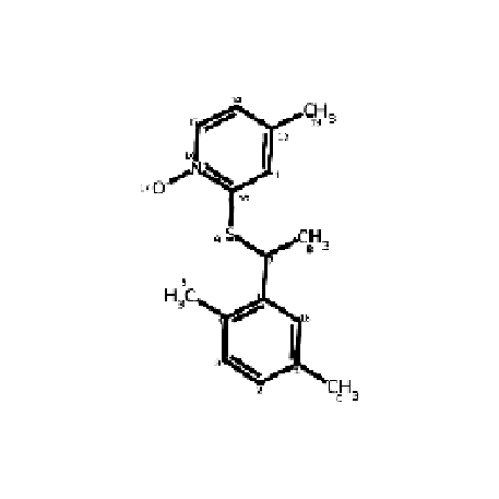 Cc1ccc(C)c(C(C)Sc2cc(C)cc[n+]2[O-])c1